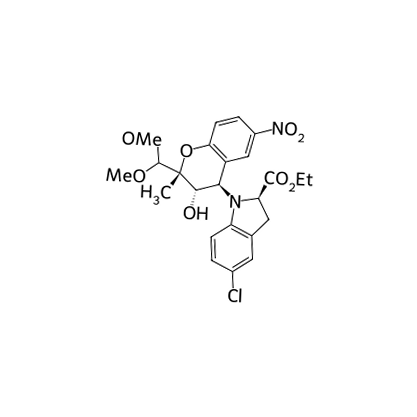 CCOC(=O)[C@H]1Cc2cc(Cl)ccc2N1[C@@H]1c2cc([N+](=O)[O-])ccc2O[C@@](C)(C(OC)OC)[C@H]1O